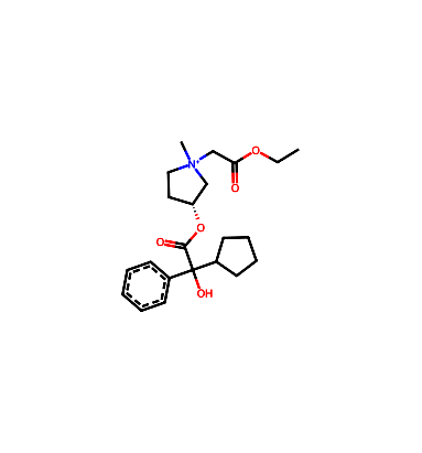 CCOC(=O)C[N+]1(C)CC[C@@H](OC(=O)C(O)(c2ccccc2)C2CCCC2)C1